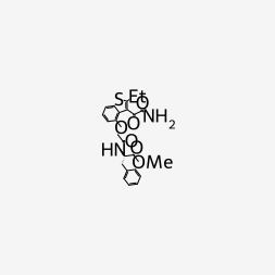 CCc1sc2cccc(OCC(=O)N[C@@H](Cc3ccccc3)C(=O)OC)c2c1C(=O)C(N)=O